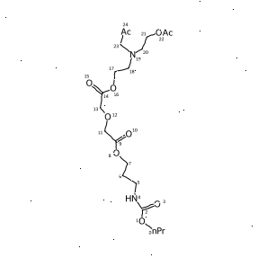 CCCOC(=O)NCCCOC(=O)COCC(=O)OCCN(CCOC(C)=O)CC(C)=O